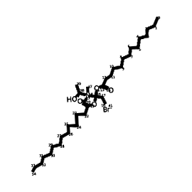 CCCCCCCCCCCCCC(=O)OC(CC)(OC(=O)CCCCCCCCCCCCC)[N+](C)(C)C(C)O.[Br-]